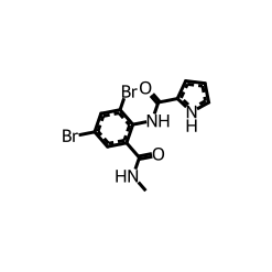 CNC(=O)c1cc(Br)cc(Br)c1NC(=O)c1ccc[nH]1